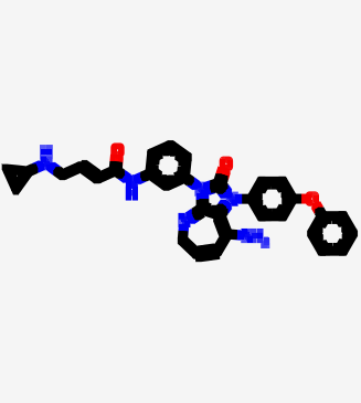 NC1=c2c(n(-c3cccc(NC(=O)/C=C/CNC4CC4)c3)c(=O)n2-c2ccc(Oc3ccccc3)cc2)=NCC#C1